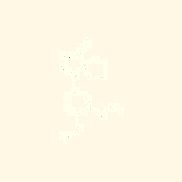 COc1ccc(C2=NNC(=O)C23CCCC3)cc1OC